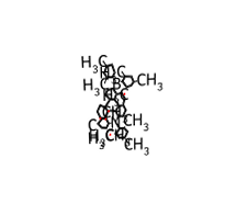 Cc1ccc(B(c2c(C)cc(C)cc2C)c2ccc3c4ccccc4c4c(N(c5c(C)cc(C)cc5C)c5c(C)cc(C)cc5C)ccc5ccc2c3c54)c(C)c1